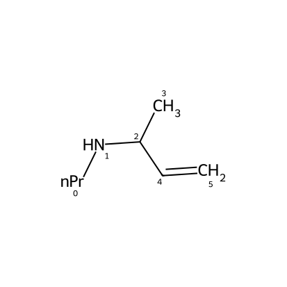 [CH2]CCNC(C)C=C